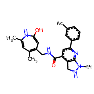 CC(=O)c1cccc(-c2cc(C(=O)NCC3=C(C)C=C(C)NC(O)=C3)c3c(n2)N(C(C)C)NC3)c1